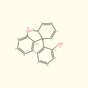 CC1C=CC=CC1(c1ccccc1O)c1ccccc1O